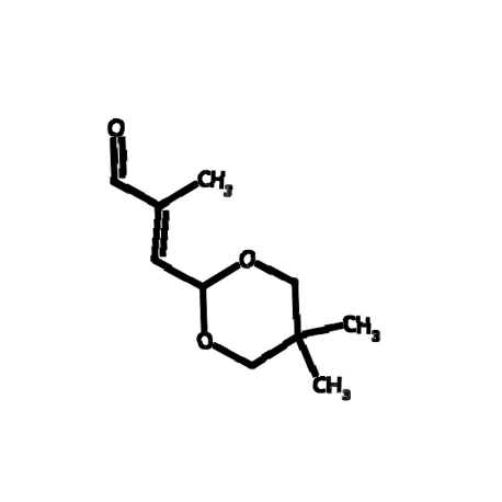 C/C(C=O)=C\C1OCC(C)(C)CO1